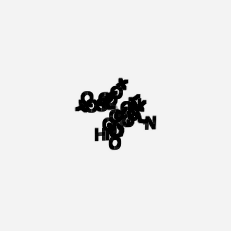 COC1C(OP(OCCC#N)N(C(C)C)C(C)C)[C@@H](/C=C/P(=O)(OCOCC(C)(C)C)OCOC(=O)C(C)(C)C)O[C@H]1n1ccc(=O)[nH]c1=O